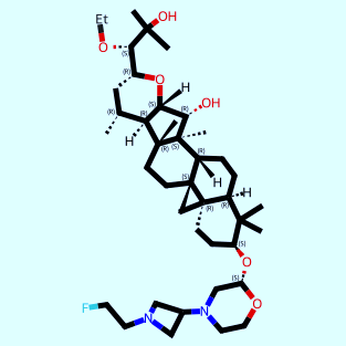 CCO[C@@H]([C@H]1C[C@@H](C)[C@H]2[C@H](O1)[C@H](O)[C@@]1(C)[C@@H]3CC[C@H]4C(C)(C)[C@@H](O[C@H]5CN(C6CN(CCF)C6)CCO5)CC[C@@]45C[C@@]35CC[C@]21C)C(C)(C)O